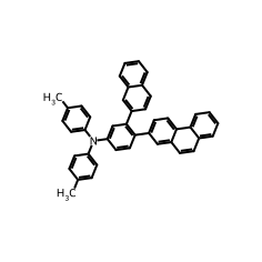 Cc1ccc(N(c2ccc(C)cc2)c2ccc(-c3ccc4c(ccc5ccccc54)c3)c(-c3ccc4ccccc4c3)c2)cc1